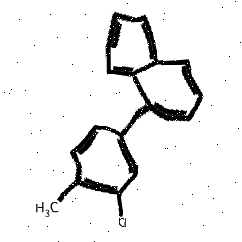 Cc1ccc(-c2cccc3ccccc23)cc1Cl